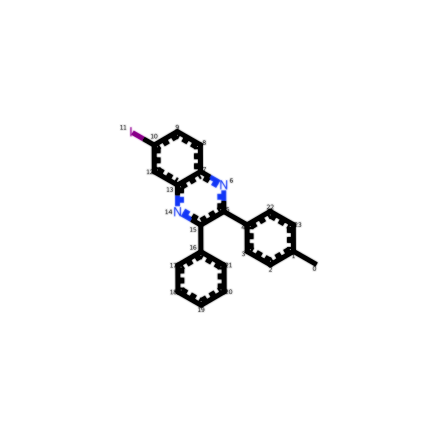 Cc1ccc(-c2nc3ccc(I)cc3nc2-c2ccccc2)cc1